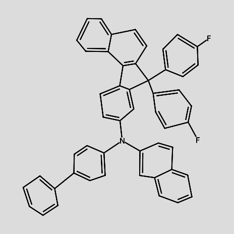 Fc1ccc(C2(c3ccc(F)cc3)c3cc(N(c4ccc(-c5ccccc5)cc4)c4ccc5ccccc5c4)ccc3-c3c2ccc2ccccc32)cc1